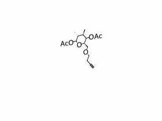 C#CCCOC[C@H]1O[C@@H](OC(C)=O)[C@H](C)[C@@H](C)[C@H]1OC(C)=O